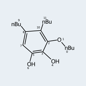 CCCCOc1c(O)c(O)cc(CCCC)c1CCCC